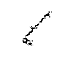 O=C(O)COCCOCCNC(=O)CCCC[C@@H]1SCC2NC(=O)NC21